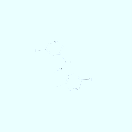 Nc1ccc(Cl)c(C(=O)Nc2cccc(F)c2)c1